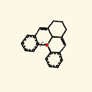 CN1c2ccccc2C=C2CCCC3=Cc4ccccc4OC321